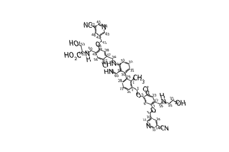 Cc1c(COc2cc(OCc3cncc(C#N)c3)c(CNCCO)cc2Cl)cccc1-c1cccc(NCc2cc(OCc3cncc(C#N)c3)c(CNC(CO)C(=O)O)cc2Cl)c1C=N